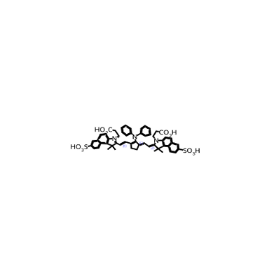 CC1(C)C(/C=C/C2=C(N(c3ccccc3)c3ccccc3)C(=C/C=C3\N(CCC(=O)O)c4ccc5cc(S(=O)(=O)O)ccc5c4C3(C)C)/CC2)=[N+](CCC(=O)O)c2ccc3cc(S(=O)(=O)O)ccc3c21